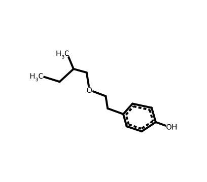 CCC(C)COCCc1ccc(O)cc1